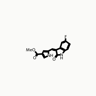 COC(=O)c1c[nH]c(/C=C2\C(=O)Nc3ccc(F)cc32)c1